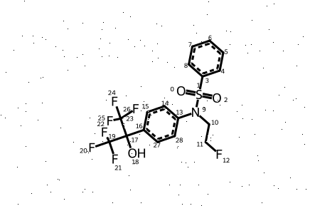 O=S(=O)(c1ccccc1)N(CCF)c1ccc(C(O)(C(F)(F)F)C(F)(F)F)cc1